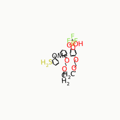 C=COCCOc1ccccc1.C=COCCOc1ccccc1.COc1ccccc1.O=S(=O)(O)C(F)(F)F.S